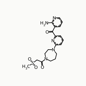 CS(=O)(=O)CC(=O)N1CCCN(c2cccc(C(=O)c3cccnc3N)n2)CC1